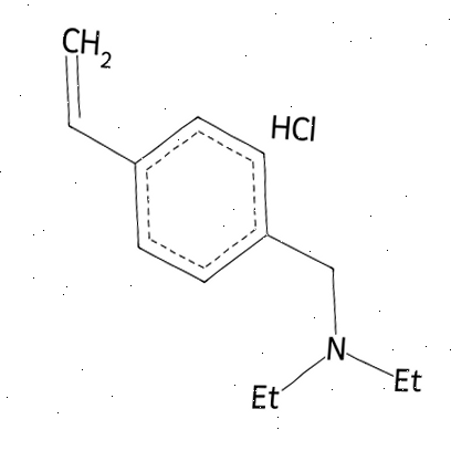 C=Cc1ccc(CN(CC)CC)cc1.Cl